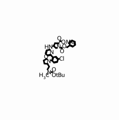 COC(=O)[C@@H]1C[C@H](Nc2cccc(-c3cc(Cl)ccc3N3C(=O)CCC3CCN(C)C(=O)OC(C)(C)C)n2)CN1C(=O)OCc1ccccc1